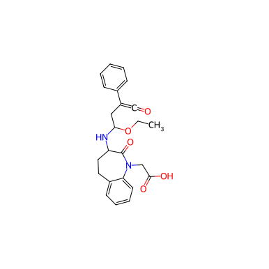 CCOC(CC(=C=O)c1ccccc1)NC1CCc2ccccc2N(CC(=O)O)C1=O